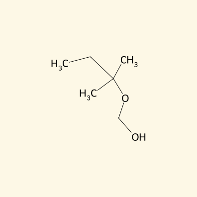 CCC(C)(C)OCO